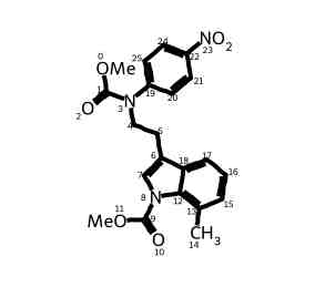 COC(=O)N(CCc1cn(C(=O)OC)c2c(C)cccc12)c1ccc([N+](=O)[O-])cc1